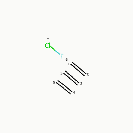 C=C.C=C.C=C.FCl